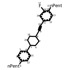 CCCCCc1ccc(C2CCC(C#Cc3ccc(CCCCC)c(F)c3)CC2)cc1